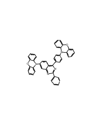 c1ccc(-c2nc(-c3ccc(N4c5ccccc5Oc5ccccc54)cc3)c3ccc(N4c5ccccc5Oc5ccccc54)cc3n2)cc1